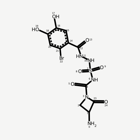 NC1CN(C(=O)NS(=O)(=O)NNC(=O)c2cc(O)c(O)cc2Br)C1=O